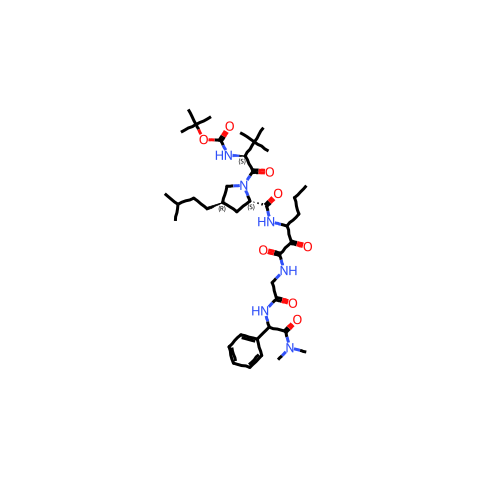 CCCC(NC(=O)[C@@H]1C[C@@H](CCC(C)C)CN1C(=O)[C@@H](NC(=O)OC(C)(C)C)C(C)(C)C)C(=O)C(=O)NCC(=O)NC(C(=O)N(C)C)c1ccccc1